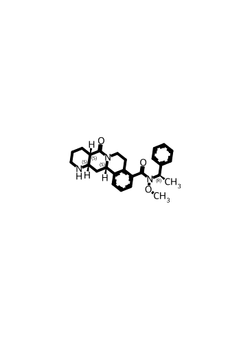 CON(C(=O)c1cccc2c1CCN1C(=O)[C@H]3CCCN[C@H]3C[C@@H]21)[C@H](C)c1ccccc1